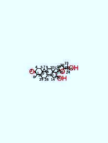 CC1C(=O)CCC23CC24CCC2(C)C(CC(O)C2C2CCC(C(C)(C)O)O2)C4CCC13